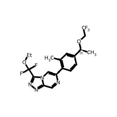 CCOC(F)(F)c1nnc2cnc(-c3ccc([C@H](C)OCC(F)(F)F)cc3C)cn12